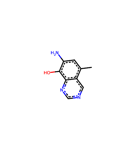 Cc1cc(N)c(O)c2ncncc12